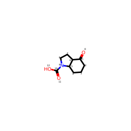 O=C1CCCC2C1CCN2C(=O)O